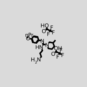 CCCOc1ccc(/N=C(\NCCCN)N2CCCC(C)C2)cc1.O=C(O)C(F)(F)F.O=C(O)C(F)(F)F